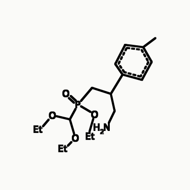 CCOC(OCC)P(=O)(CC(CN)c1ccc(C)cc1)OCC